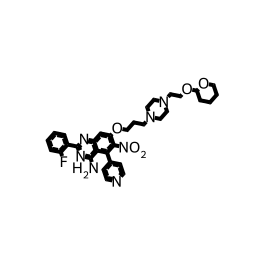 Nc1nc(-c2ccccc2F)nc2cc(OCCCN3CCN(CCOC4CCCCO4)CC3)c([N+](=O)[O-])c(-c3ccncc3)c12